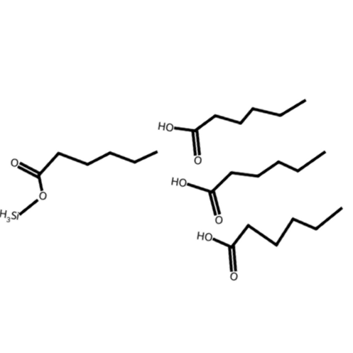 CCCCCC(=O)O.CCCCCC(=O)O.CCCCCC(=O)O.CCCCCC(=O)O[SiH3]